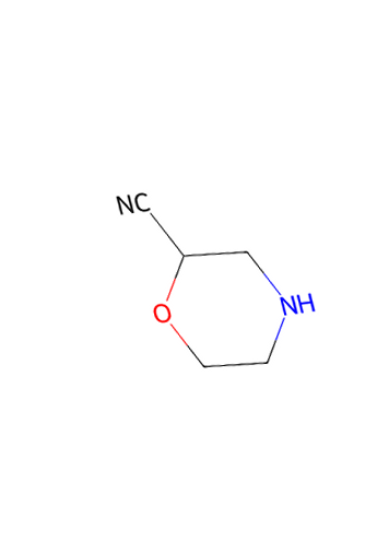 N#CC1CNCCO1